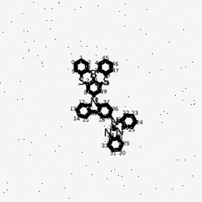 c1ccc2c(c1)Sc1cc(-n3c4ccccc4c4cc(-n5c6ccccc6n6c7ccccc7nc56)ccc43)cc3c1B2c1ccccc1S3